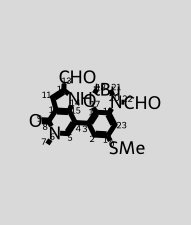 CSc1cc(-c2cn(C)c(=O)c3cc(C=O)[nH]c23)c(OC(C)(C)C)c(N(C)C=O)c1